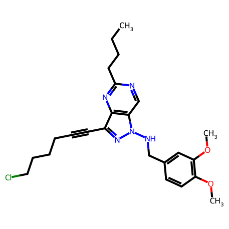 CCCCc1ncc2c(n1)c(C#CCCCCCl)nn2NCc1ccc(OC)c(OC)c1